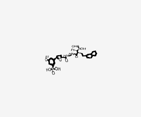 CCOc1cc(-c2ccc(C(=O)NCNC(=O)[C@H](CCc3ccc4ccccc4c3)[C@@H](CC)N(O)C=O)o2)cc(P(=O)(O)O)c1